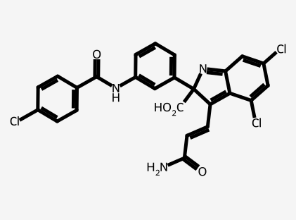 NC(=O)C=CC1=c2c(Cl)cc(Cl)cc2=NC1(C(=O)O)c1cccc(NC(=O)c2ccc(Cl)cc2)c1